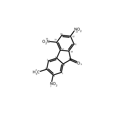 Cc1cc2c(cc1[N+](=O)[O-])C(=O)c1cc([N+](=O)[O-])cc([N+](=O)[O-])c1-2